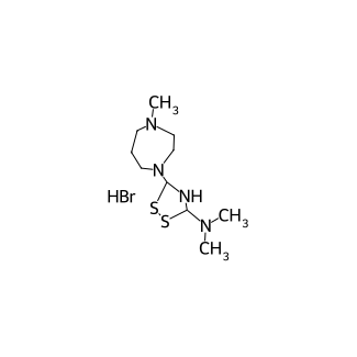 Br.CN1CCCN(C2NC(N(C)C)SS2)CC1